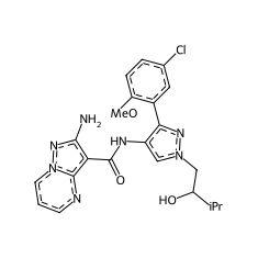 COc1ccc(Cl)cc1-c1nn(CC(O)C(C)C)cc1NC(=O)c1c(N)nn2cccnc12